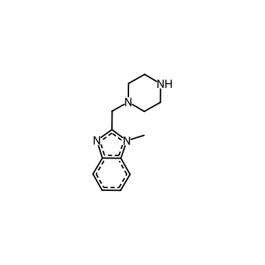 Cn1c(CN2CCNCC2)nc2ccccc21